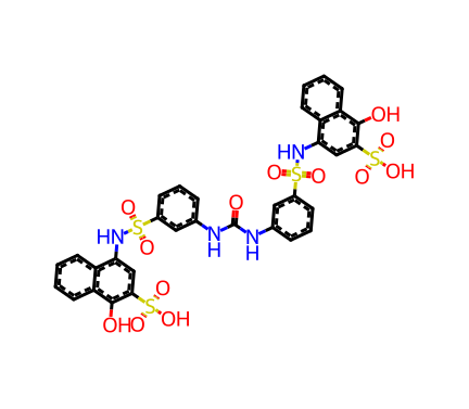 O=C(Nc1cccc(S(=O)(=O)Nc2cc(S(=O)(=O)O)c(O)c3ccccc23)c1)Nc1cccc(S(=O)(=O)Nc2cc(S(=O)(=O)O)c(O)c3ccccc23)c1